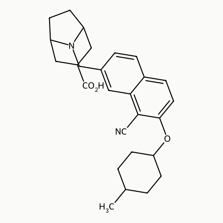 CC1CCC(Oc2ccc3ccc(CN4C5CCC4CC(C(=O)O)C5)cc3c2C#N)CC1